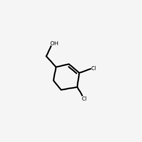 OCC1C=C(Cl)C(Cl)CC1